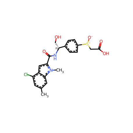 Cc1cc(Cl)c2cc(C(=O)N[C@H](CO)c3ccc([S+]([O-])CC(=O)O)cc3)n(C)c2c1